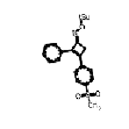 CC(C)(C)ON=C1CC(c2ccc(S(C)(=O)=O)cc2)=C1c1ccccc1